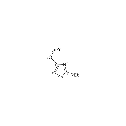 CCCOc1csc(CC)n1